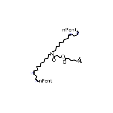 CCCCC/C=C\C/C=C\CCCCCCCCN(CCCCCCCC/C=C\C/C=C\CCCCC)C(=O)CCOC(=O)CCCCN(C)C